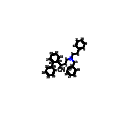 N#CC(CCN(CCc1ccccc1)Cc1ccccc1)c1ccccc1-c1ccccc1